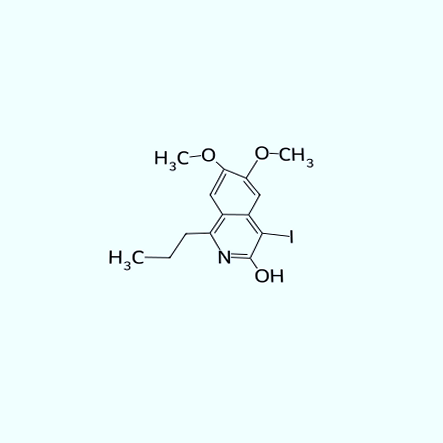 CCCc1nc(O)c(I)c2cc(OC)c(OC)cc12